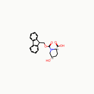 O=C(O)[C@@H]1CC[C@H](O)CN1C(=O)OCC1c2ccccc2-c2ccccc21